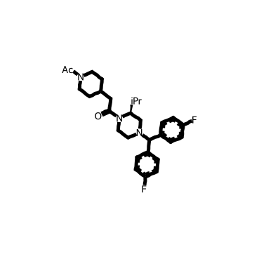 CC(=O)N1CCC(CC(=O)N2CCN(C(c3ccc(F)cc3)c3ccc(F)cc3)C[C@@H]2C(C)C)CC1